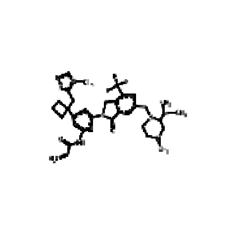 C=CC(=O)Nc1cc(C2(Cc3nncn3C)CCC2)cc(N2Cc3c(cc(CN4CCN(C)CC4C(C)C)cc3C(F)(F)F)C2=O)n1